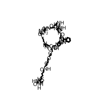 CC(O)[C@@H]1NC(=O)[C@H](Cc2c[nH]c3ccccc23)NC(=O)[C@@H]2CCCN2C(=O)[C@@H](NC(=O)COCCOCCOCCNC(=O)CCCCC2SC[C@H]3NC(=O)N[C@@H]23)Cc2cn(nn2)CCCC[C@@H](C(N)=O)NC(=O)CNC(=O)[C@H](Cc2c[nH]cn2)NC1=O